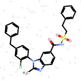 Cc1nc2ccc(C(=O)NS(=O)(=O)CCc3ccccc3)cc2n1-c1ccc(Cc2ccccc2)cc1Cl